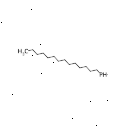 CCCCCCCCCCCCCC[PH]